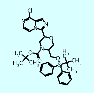 CC(C)(C)OC(=O)N1CC(c2ncc3c(Cl)nccn23)OCC1CO[Si](c1ccccc1)(c1ccccc1)C(C)(C)C